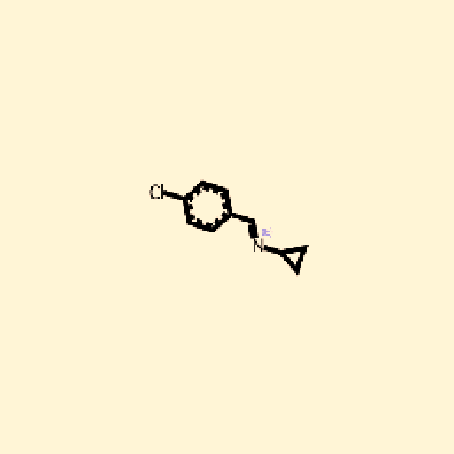 Clc1ccc(/C=N/C2CC2)cc1